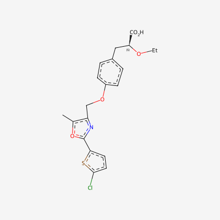 CCO[C@@H](Cc1ccc(OCc2nc(-c3ccc(Cl)s3)oc2C)cc1)C(=O)O